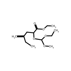 C=C(CC)CC(OC(OC)OCC)C(=O)OCC